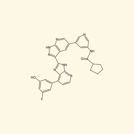 O=C(Nc1cncc(-c2cnc3[nH]nc(-c4nc5c(-c6cc(O)cc(F)c6)ccnc5[nH]4)c3c2)c1)C1CCCC1